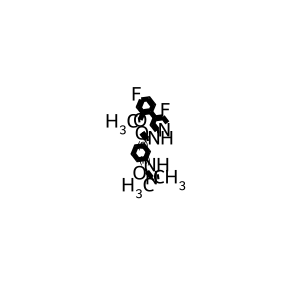 COc1cc(F)ccc1-c1cc(NC(=O)[C@H]2CCC[C@@H](NC(=O)N(C)C)C2)ncc1F